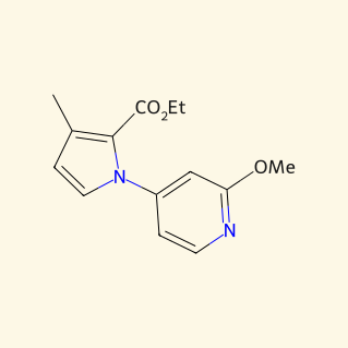 CCOC(=O)c1c(C)ccn1-c1ccnc(OC)c1